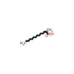 C=CCCCCCCCCCC=C(C)C(=O)O